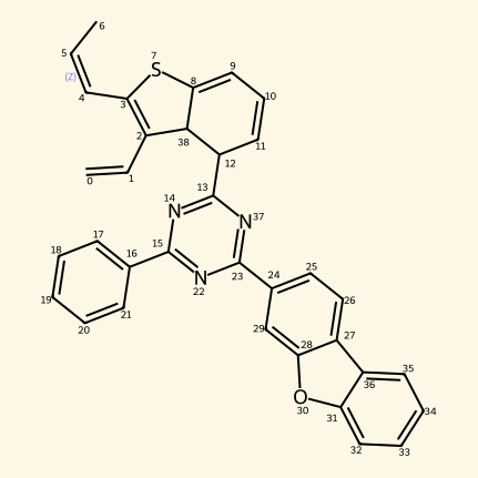 C=CC1=C(/C=C\C)SC2=CC=CC(c3nc(-c4ccccc4)nc(-c4ccc5c(c4)oc4ccccc45)n3)C21